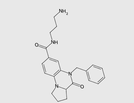 NCCCNC(=O)c1ccc2c(c1)N(Cc1ccccc1)C(=O)C1CCCN21